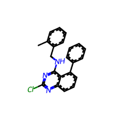 Cc1ccccc1CNc1nc(Cl)nc2cccc(-c3ccccc3)c12